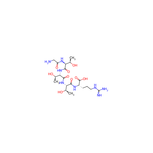 C[C@@H](O)[C@H](NC(=O)CN)C(=O)N[C@H](C(=O)N[C@H](C(=O)N[C@@H](CCCNC(=N)N)C(=O)O)[C@@H](C)O)[C@@H](C)O